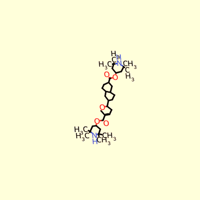 CC1(C)CC(OC(=O)C2=CCC(C3CCC4CC(C(=O)OC5CC(C)(C)NC(C)(C)C5)CCC4C3)OC2)CC(C)(C)N1